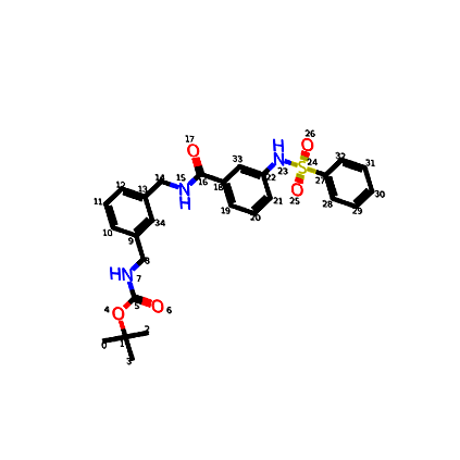 CC(C)(C)OC(=O)NCc1cccc(CNC(=O)c2cccc(NS(=O)(=O)c3ccccc3)c2)c1